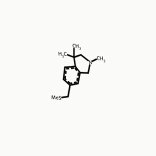 CSCc1ccc2c(c1)CN(C)CC2(C)C